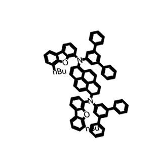 CCCCc1cccc2c1oc1c(N(c3cc(-c4ccccc4)cc(-c4ccccc4)c3)c3ccc4ccc5c6c(ccc3c46)=CCC5N(c3cc(-c4ccccc4)cc(-c4ccccc4)c3)c3cccc4c3oc3c(CCCC)cccc34)cccc12